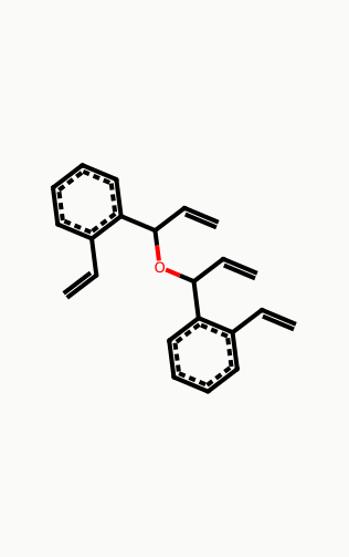 C=Cc1ccccc1C(C=C)OC(C=C)c1ccccc1C=C